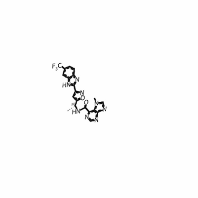 C[C@@H](NC(=O)c1ncnc2ncn(C)c12)c1cc(-c2nc3ccc(C(F)(F)F)cc3[nH]2)no1